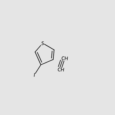 C#C.Ic1ccsc1